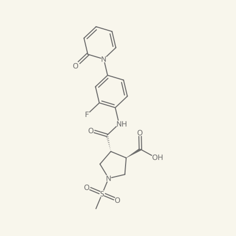 CS(=O)(=O)N1C[C@H](C(=O)O)[C@@H](C(=O)Nc2ccc(-n3ccccc3=O)cc2F)C1